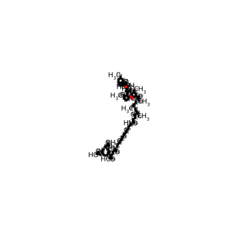 CCC1CC2CCC(NC(=O)c3cc(-c4c(OC)cccc4OC)n(-c4ccc(C(=O)N(C)CCCN(C)CCCN(C)C(=O)CCC(=O)NCCCOCCOCCOCCCNC(=O)CCC(C(=O)O)N5CCN(CC(=O)O)CCN(CC(=O)O)CC5)cc4C(C)C)n3)(C(=O)O)C(C1)C2